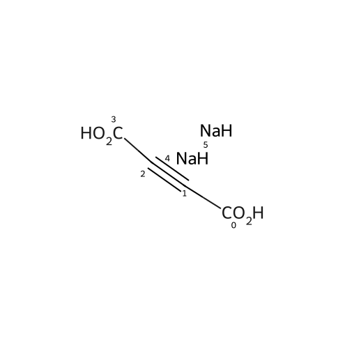 O=C(O)C#CC(=O)O.[NaH].[NaH]